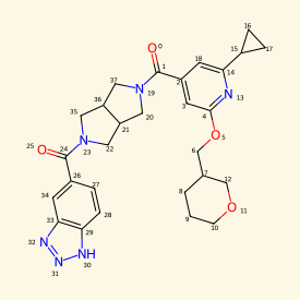 O=C(c1cc(OCC2CCCOC2)nc(C2CC2)c1)N1CC2CN(C(=O)c3ccc4[nH]nnc4c3)CC2C1